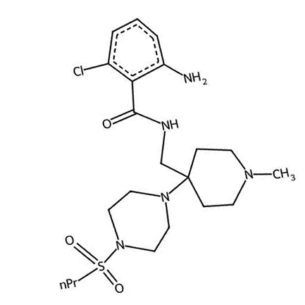 CCCS(=O)(=O)N1CCN(C2(CNC(=O)c3c(N)cccc3Cl)CCN(C)CC2)CC1